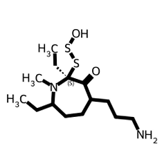 CCC1CCC(CCCN)C(=O)[C@](CC)(SSO)N1C